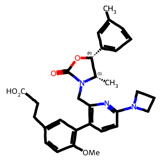 COc1ccc(CCC(=O)O)cc1-c1ccc(N2CCC2)nc1CN1C(=O)O[C@H](c2cccc(C)c2)[C@@H]1C